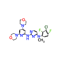 CN(c1ccnc(Nc2cc(N3CCOCC3)cc(N3CCOCC3)n2)n1)c1ccc(F)c(Cl)c1F